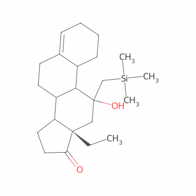 CC[C@]12CC(O)(C[Si](C)(C)C)C3C4CCCC=C4CCC3C1CCC2=O